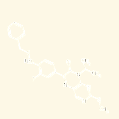 CSc1ncc2nc(-c3ccc(NSCc4ccccc4)c(F)c3)c(=O)n(C(C)C)c2n1